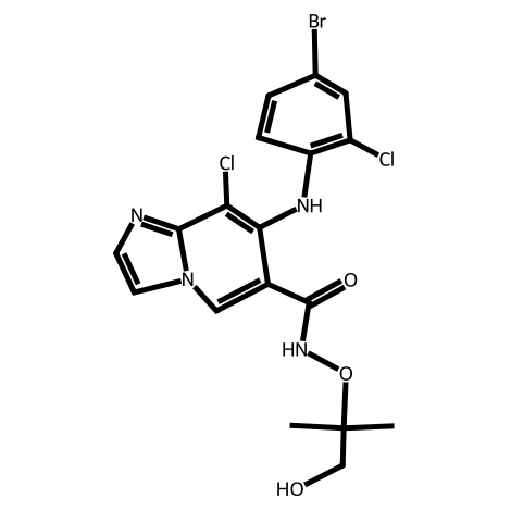 CC(C)(CO)ONC(=O)c1cn2ccnc2c(Cl)c1Nc1ccc(Br)cc1Cl